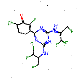 O=C1C(F)=C(c2nc(NC(CF)C(F)F)nc(NC(CF)C(F)F)n2)CCC1Cl